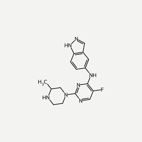 CC1CN(c2ncc(F)c(Nc3ccc4[nH]ncc4c3)n2)CCN1